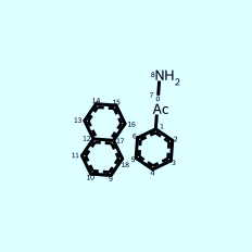 CC(=O)c1ccccc1.CN.c1ccc2ccccc2c1